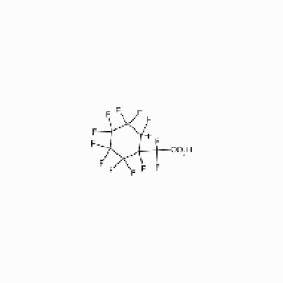 O=C(O)C(F)(F)C1(F)C(F)(F)C(F)(F)C(F)(F)C(F)(F)C1(F)F